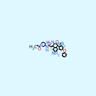 C=CC(=O)N1CCCC(NC(=O)c2sc3c(N)ccc4c3c2C(N)C(=O)C4(N)c2ccc(Oc3ccccc3)cc2Cl)C1